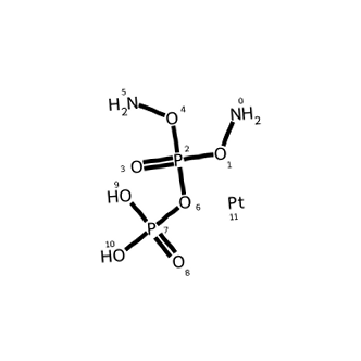 NOP(=O)(ON)OP(=O)(O)O.[Pt]